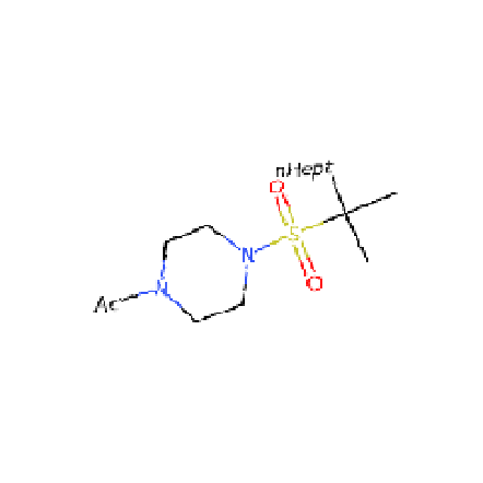 CCCCCCCC(C)(C)S(=O)(=O)N1CCN(C(C)=O)CC1